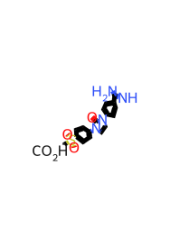 N=C(N)c1ccc(N2CCN(c3ccc(S(=O)(=O)CC(=O)O)cc3)C2=O)cc1